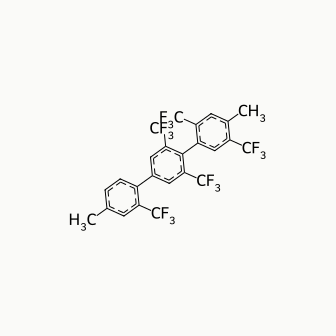 Cc1ccc(-c2cc(C(F)(F)F)c(-c3cc(C(F)(F)F)c(C)cc3C(F)(F)F)c(C(F)(F)F)c2)c(C(F)(F)F)c1